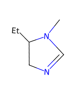 CCC1CN=CN1C